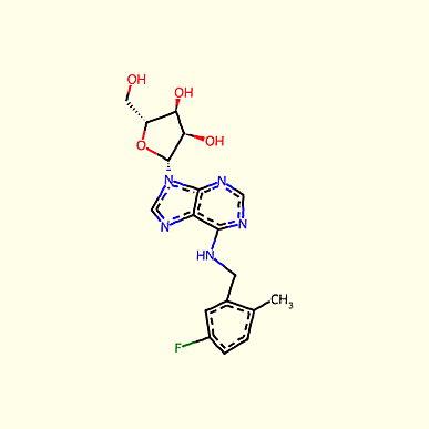 Cc1ccc(F)cc1CNc1ncnc2c1ncn2[C@@H]1O[C@H](CO)[C@@H](O)[C@H]1O